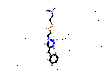 CN(C)CCSSCCn1cc(Cc2ccccc2)nn1